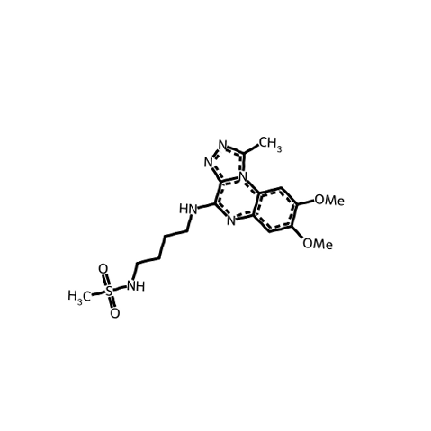 COc1cc2nc(NCCCCNS(C)(=O)=O)c3nnc(C)n3c2cc1OC